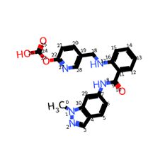 Cn1ncc2ccc(NC(=O)c3ccccc3NCc3ccc(OC(=O)O)nc3)cc21